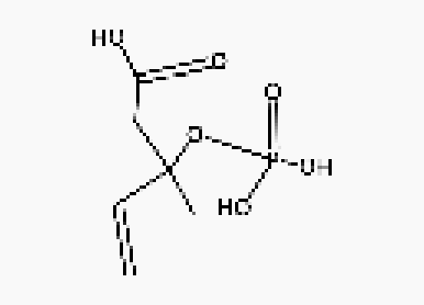 C=CC(C)(CC(=O)O)OP(=O)(O)O